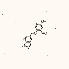 COc1cc(C=O)c(OCc2cnc3c(cnn3C)c2)cn1